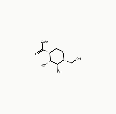 COC(=O)[C@@H]1CO[C@H](CO)[C@H](O)[C@@H]1O